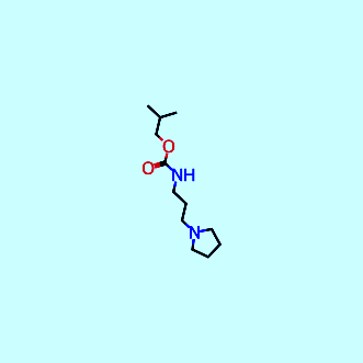 CC(C)COC(=O)NCCCN1CCCC1